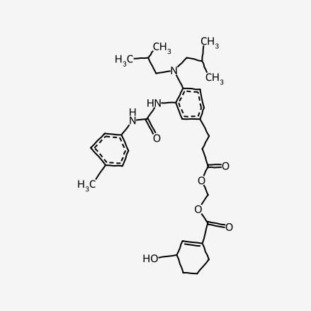 Cc1ccc(NC(=O)Nc2cc(CCC(=O)OCOC(=O)C3=CC(O)CCC3)ccc2N(CC(C)C)CC(C)C)cc1